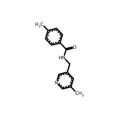 Cc1ccc(C(=O)NCc2cncc(C)c2)cc1